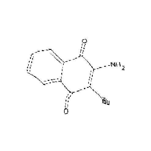 CCC(C)C1=C(N)C(=O)c2ccccc2C1=O